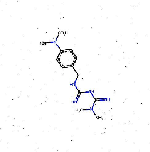 CN(C)C(=N)NC(=N)NCc1ccc(N(C(=O)O)C(C)(C)C)cc1